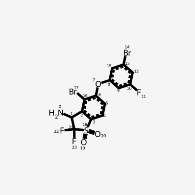 NC1c2c(ccc(Oc3cc(F)cc(Br)c3)c2Br)S(=O)(=O)C1(F)F